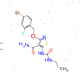 CCCNC(=O)Nc1snc(OCc2ccc(Br)cc2F)c1C(N)=O